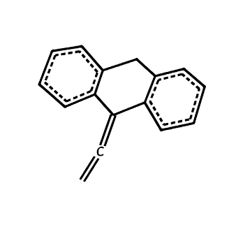 C=C=C1c2ccccc2Cc2ccccc21